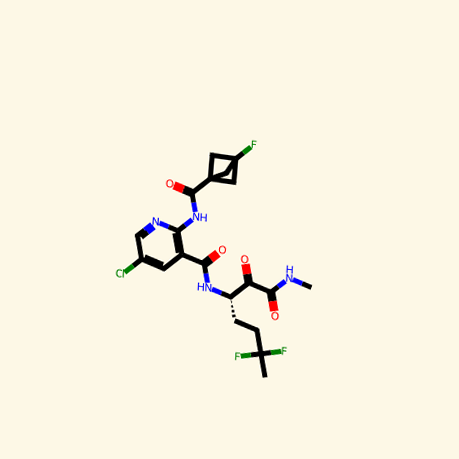 CNC(=O)C(=O)[C@H](CCC(C)(F)F)NC(=O)c1cc(Cl)cnc1NC(=O)C12CC(F)(C1)C2